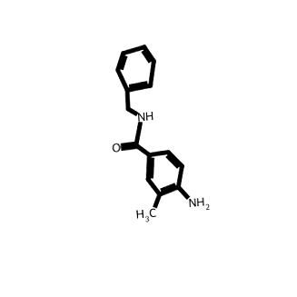 Cc1cc(C(=O)NCc2ccccc2)ccc1N